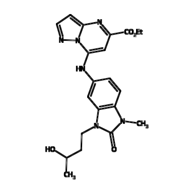 CCOC(=O)c1cc(Nc2ccc3c(c2)n(CCC(C)O)c(=O)n3C)n2nccc2n1